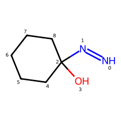 N=NC1(O)CCCCC1